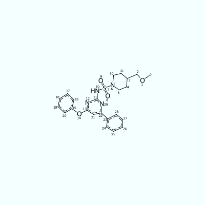 COCC1CCN(S(=O)(=O)Nc2nc(Oc3ccccc3)cc(-c3ccccc3)n2)CC1